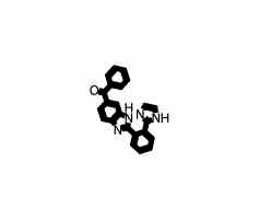 O=C(c1ccccc1)c1ccc2nc(-c3ccccc3-c3ncc[nH]3)[nH]c2c1